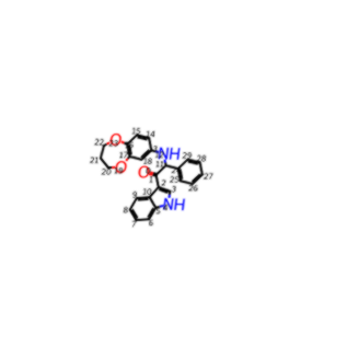 O=C(c1c[nH]c2ccccc12)C(Nc1ccc2c(c1)OCCCO2)c1ccccc1